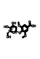 COc1cc(C(=O)O)cc(OC)c1O[C@H]1C[C@@H](O)[C@H](O)[C@@H](CO)O1